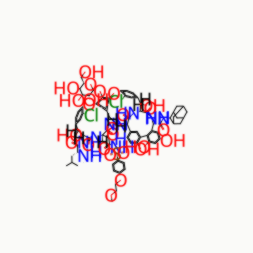 CN[C@H](CC(C)C)C(=O)N[C@H]1C(=O)N[C@@H](CC(=O)NS(=O)(=O)c2ccc(OCCOC)cc2)C(=O)N[C@H]2C(=O)N[C@H]3C(=O)N[C@H](C(=O)N[C@H](C(=O)NC4C5CC6CC(C5)CC4C6)c4cc(O)cc(O)c4-c4cc3ccc4O)[C@H](O)c3ccc(c(Cl)c3)Oc3cc2cc(c3O[C@@H]2O[C@H](CO)[C@@H](O)[C@H](O)[C@H]2O)Oc2ccc(cc2Cl)[C@H]1O